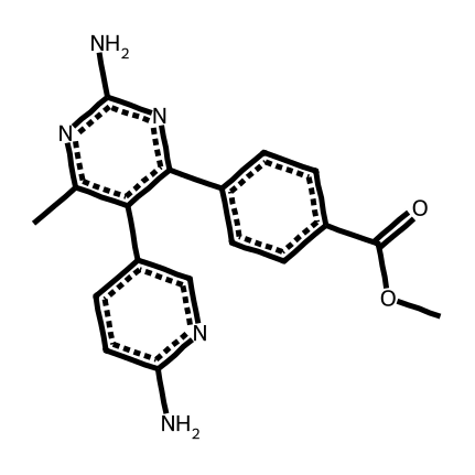 COC(=O)c1ccc(-c2nc(N)nc(C)c2-c2ccc(N)nc2)cc1